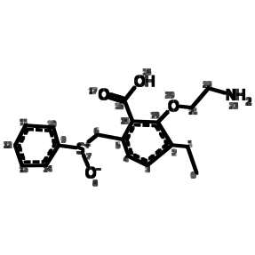 CCc1ccc(C[S+]([O-])c2ccccc2)c(C(=O)O)c1OCCN